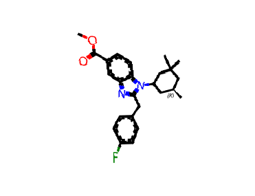 COC(=O)c1ccc2c(c1)nc(Cc1ccc(F)cc1)n2C1C[C@H](C)CC(C)(C)C1